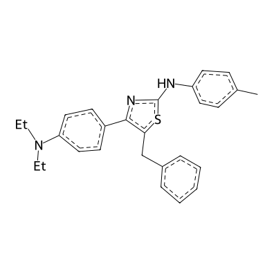 CCN(CC)c1ccc(-c2nc(Nc3ccc(C)cc3)sc2Cc2ccccc2)cc1